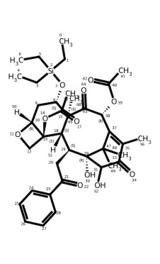 CC[Si](CC)(CC)O[C@H]1C[C@H]2OC[C@@]2(OC(C)=O)[C@H]2[C@H](CC(=O)c3ccccc3)[C@]3(O)C(O)C(=O)C(C)=C([C@@H](OC(C)=O)C(=O)[C@]12C)C3(C)C